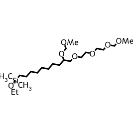 CCO[Si](C)(C)CCCCCCCCC(COCCOCCOCOC)OCOC